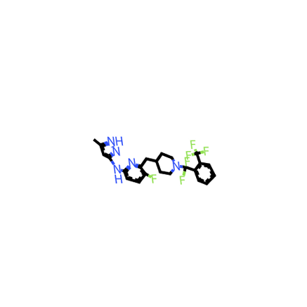 Cc1cc(Nc2ccc(F)c(CC3CCN(C(F)(F)c4ccccc4C(F)(F)F)CC3)n2)n[nH]1